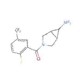 NC1C2CN(C(=O)c3cc(C(F)(F)F)ccc3F)CC12